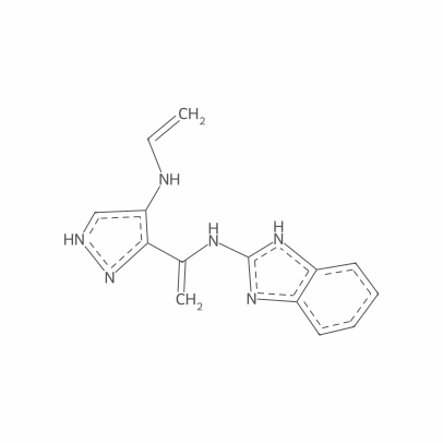 C=CNc1c[nH]nc1C(=C)Nc1nc2ccccc2[nH]1